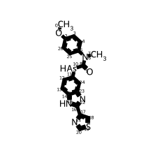 COc1ccc(N(C)C(=O)[AsH]c2ccc3[nH]c(-c4cscn4)nc3c2)cc1